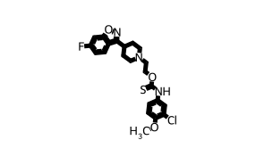 COc1ccc(NC(=S)OCCN2CCC(c3noc4cc(F)ccc34)CC2)cc1Cl